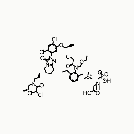 C#CCOc1cc(-n2nc3n(c2=O)CCCC3)c(Cl)cc1Cl.C=CCN(CC=C)C(=O)C(Cl)Cl.CCOCN(C(=O)CCl)c1c(C)cccc1CC.C[S+](C)C.O=C(O)CNCP(=O)([O-])O